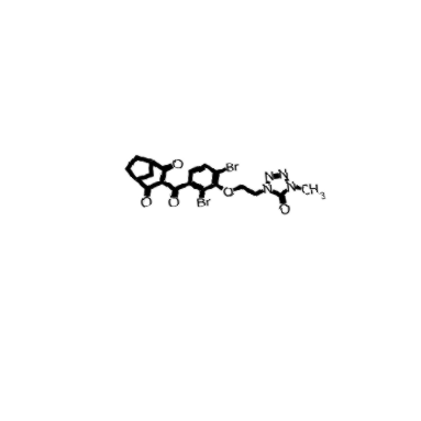 Cn1nnn(CCOc2c(Br)ccc(C(=O)C3C(=O)C4CCC(C4)C3=O)c2Br)c1=O